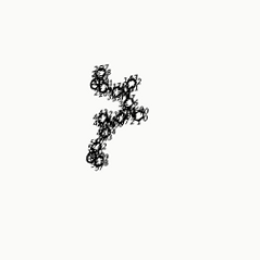 c1ccc(-n2c3ccc(-n4c5ccccc5c5cc(-c6ccc7oc8ccccc8c7c6)ccc54)cc3c3cc(-n4c5ccccc5c5cc(-c6ccc7oc8ccccc8c7c6)ccc54)ccc32)cc1